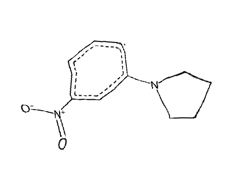 O=[N+]([O-])c1cc[c]c(N2CCCC2)c1